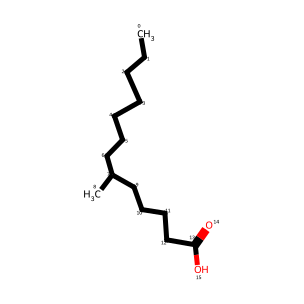 CCCCCCCC(C)CCCCC(=O)O